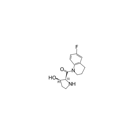 O=C([C@H]1NCC[C@H]1O)N1CCCc2cc(F)ccc21